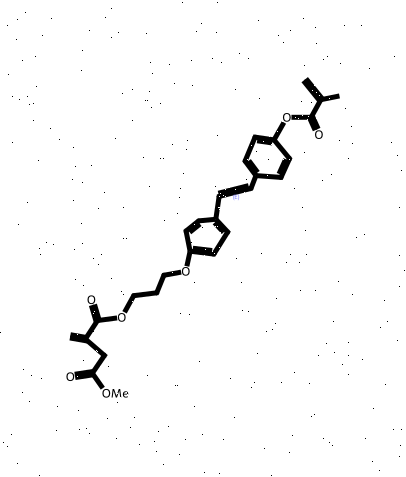 C=C(C)C(=O)Oc1ccc(/C=C/c2ccc(OCCCOC(=O)C(=C)CC(=O)OC)cc2)cc1